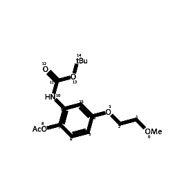 COCCOc1ccc(OC(C)=O)c(NC(=O)OC(C)(C)C)c1